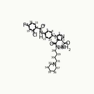 NC(=O)c1ncn(-c2ccc(NC(=O)c3ccc(F)cc3Cl)cc2)c1C(=O)NCCCCN1CCCCC1